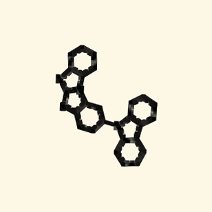 c1ccc2c(c1)nc1sc3ccc(-n4c5ccccc5c5ccccc54)cc3n12